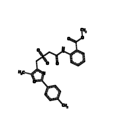 COC(=O)c1ccccc1NC(=O)CS(=O)(=O)Cc1nc(-c2ccc(C)cc2)oc1C